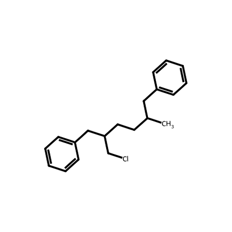 CC(CCC(CCl)Cc1ccccc1)Cc1ccccc1